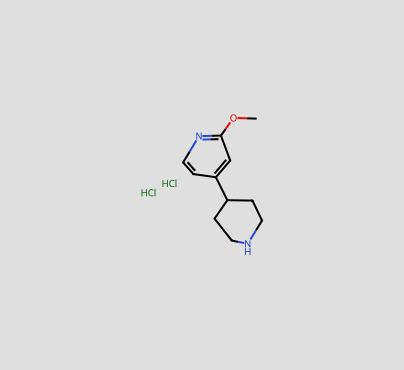 COc1cc(C2CCNCC2)ccn1.Cl.Cl